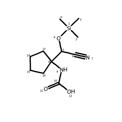 C[Si](C)(C)OC(C#N)C1(NC(=O)O)CCCC1